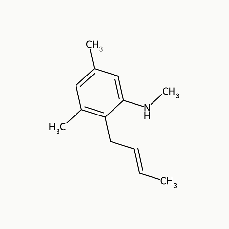 C/C=C/Cc1c(C)cc(C)cc1NC